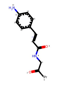 CC(C)C(=O)CNC(=O)/C=C/c1ccc(N)cc1